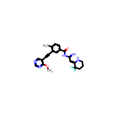 COc1ncncc1C#Cc1cc(C(=O)NC(=N)/C=C2\NCCCC2(F)F)ccc1C